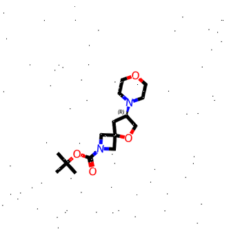 CC(C)(C)OC(=O)N1CC2(C[C@@H](N3CCOCC3)CO2)C1